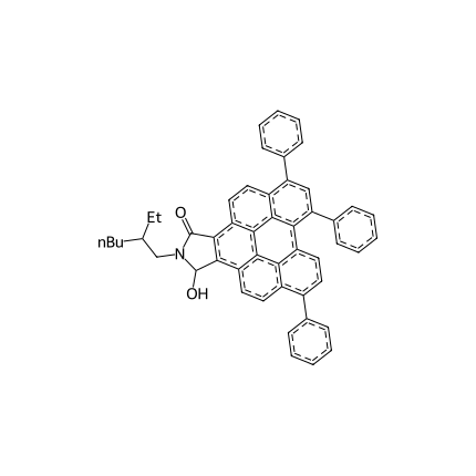 CCCCC(CC)CN1C(=O)c2c(c3ccc4c(-c5ccccc5)ccc5c6c(-c7ccccc7)cc(-c7ccccc7)c7ccc2c(c76)c3c45)C1O